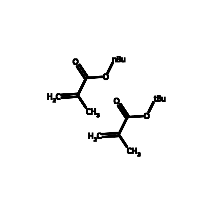 C=C(C)C(=O)OC(C)(C)C.C=C(C)C(=O)OCCCC